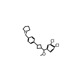 COC(c1ccc(Cl)c(Cl)c1)C1CC(c2ccc(CN3CCCC3)cc2)C1